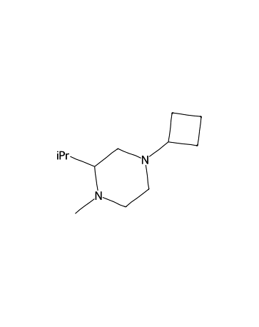 CC(C)C1CN(C2CCC2)CCN1C